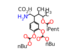 CCCCOC(=O)Oc1ccc(C(C(C)C(C)OC(=O)C(C)CCC)[C@H](N)C(=O)O)cc1OC(=O)OCCCC